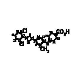 Cc1cc(C2CN(c3c(Cl)cccc3Cl)C2)ncc1CN1CCC(C(=O)O)CC1